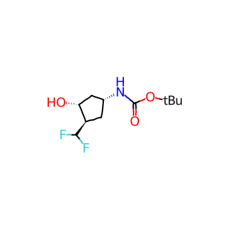 CC(C)(C)OC(=O)N[C@H]1C[C@@H](O)[C@H](C(F)F)C1